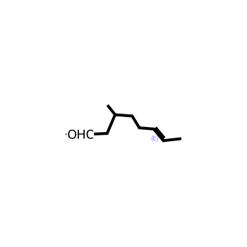 C/C=C/CCC(C)C[C]=O